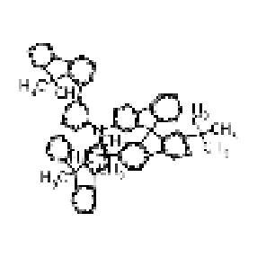 CC(C)(C)c1ccc2c(c1)C1(c3ccccc3-c3ccc(N(c4cccc(-c5cccc6c5C(C)(C)c5ccccc5-6)c4)c4ccc5c(c4)C(C)(c4ccccc4)c4ccccc4-5)cc31)c1cc(C(C)(C)C)ccc1-2